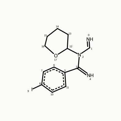 N=CN(C(=N)c1ccc(I)cc1)C1CCCCO1